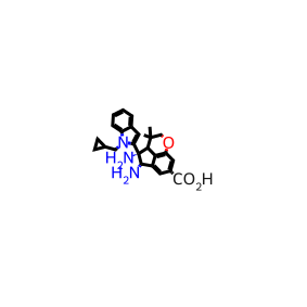 CC1(C)COc2cc(C(=O)O)cc3c2C1[C@](N)(c1cc2ccccc2n1CC1CC1)C3N